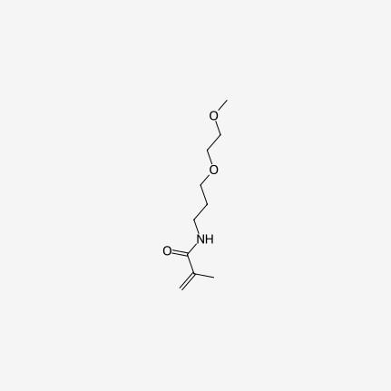 C=C(C)C(=O)NCCCOCCOC